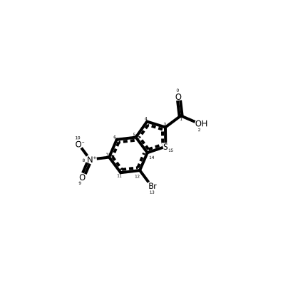 O=C(O)c1cc2cc([N+](=O)[O-])cc(Br)c2s1